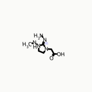 CNN1CCN(CC(=O)O)/C1=N/N